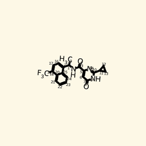 CC(NC(=O)c1cc(=O)[nH]c(C2CC2)n1)c1ccc(C(F)(F)F)c2ccccc12